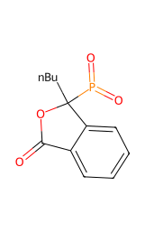 CCCCC1(P(=O)=O)OC(=O)c2ccccc21